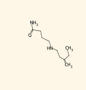 C=C(CC)CCNCCCC(N)=O